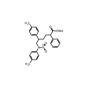 COC(=O)C(CCC(CN(c1ccc(C)cc1)[SH](=O)=O)c1ccc(C)cc1)c1ccccc1